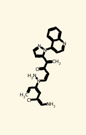 C=C/C(=C\C(Cl)=C/N)N(N)/C=C\C(=O)C(=C)c1ccnn1-c1ccnc2ccccc12